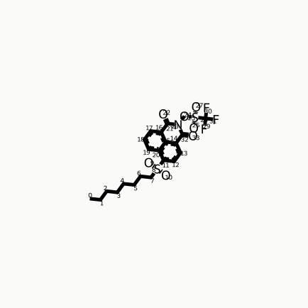 CCCCCCCCS(=O)(=O)c1ccc2c3c(cccc13)C(=O)N(OS(=O)(=O)C(F)(F)F)C2=O